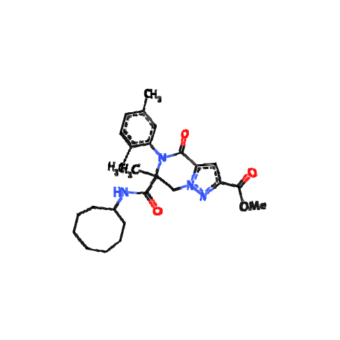 COC(=O)c1cc2n(n1)CC(C)(C(=O)NC1CCCCCCC1)N(c1cc(C)ccc1C)C2=O